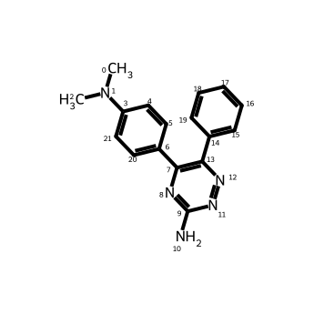 CN(C)c1ccc(-c2nc(N)nnc2-c2ccccc2)cc1